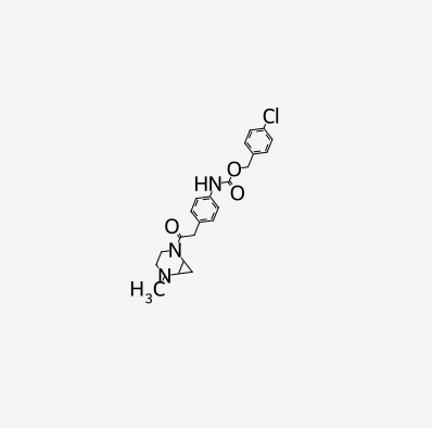 CN1CCN(C(=O)Cc2ccc(NC(=O)OCc3ccc(Cl)cc3)cc2)C2CC21